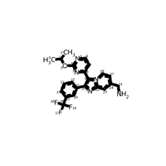 CC(C)Oc1nccc(-c2c(-c3cccc(C(F)(F)F)c3)nc3cc(CN)ccn23)n1